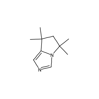 CC1(C)CC(C)(C)n2cncc21